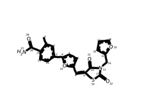 Cc1cc(-c2ccc(/C=C3/SC(=O)N(Cc4ccco4)C3=O)o2)ccc1C(N)=O